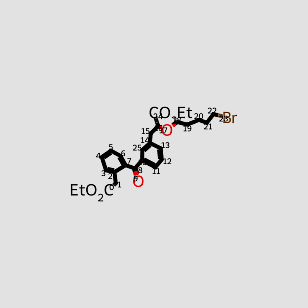 CCOC(=O)Cc1ccccc1C(=O)c1cccc(CC(OCCCCCBr)C(=O)OCC)c1